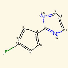 Fc1ccc(C2=NC=CC=[N+]2)cc1